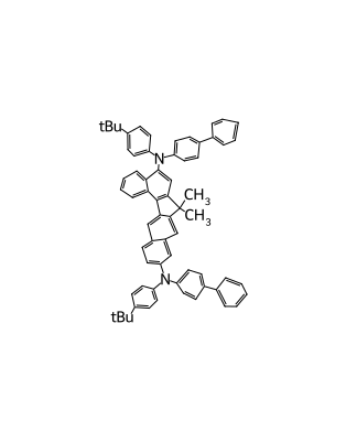 CC(C)(C)c1ccc(N(c2ccc(-c3ccccc3)cc2)c2ccc3cc4c(cc3c2)C(C)(C)c2cc(N(c3ccc(-c5ccccc5)cc3)c3ccc(C(C)(C)C)cc3)c3ccccc3c2-4)cc1